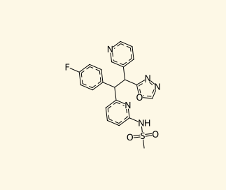 CS(=O)(=O)Nc1cccc(C(c2ccc(F)cc2)C(c2cccnc2)c2nnco2)n1